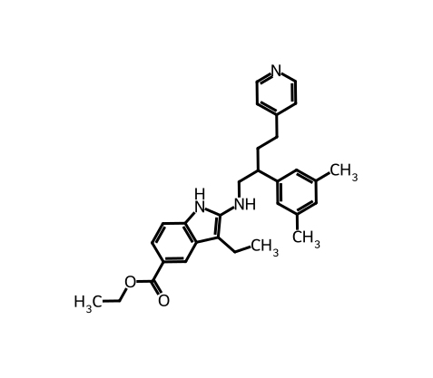 CCOC(=O)c1ccc2[nH]c(NCC(CCc3ccncc3)c3cc(C)cc(C)c3)c(CC)c2c1